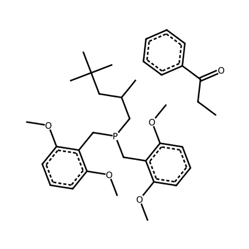 CCC(=O)c1ccccc1.COc1cccc(OC)c1CP(Cc1c(OC)cccc1OC)CC(C)CC(C)(C)C